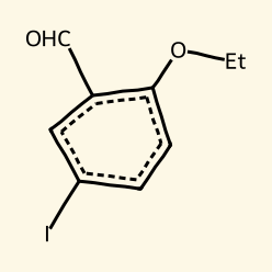 CCOc1ccc(I)cc1C=O